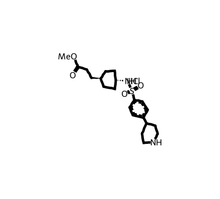 COC(=O)CC[C@H]1CC[C@H](NS(=O)(=O)c2ccc(C3CCNCC3)cc2)CC1.Cl